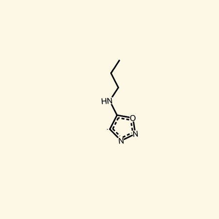 CCCNc1[c]nno1